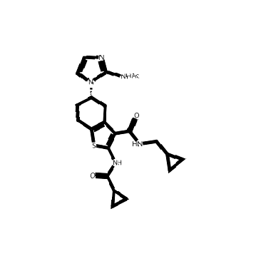 CC(=O)Nc1nccn1[C@H]1CCc2sc(NC(=O)C3CC3)c(C(=O)NCC3CC3)c2C1